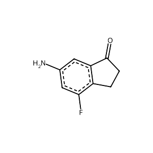 Nc1cc(F)c2c(c1)C(=O)CC2